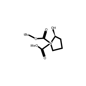 COC(=O)[N+]1(C(=O)OC(C)(C)C)CCC[C@@H]1O